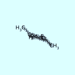 CCCCCCCCOc1ccc(-c2ccc(-c3ccc(C4CCC(CCCCCCC)CO4)c(F)c3)cc2)c(F)c1F